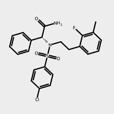 Cc1cccc(CCN([C@@H](C(N)=O)c2ccccc2)S(=O)(=O)c2ccc(Cl)cc2)c1F